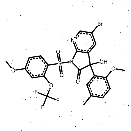 COc1ccc(S(=O)(=O)N2C(=O)C(O)(c3cc(C)ccc3OC)c3cc(Br)cnc32)c(OC(F)(F)F)c1